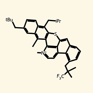 Cc1c2c(c(CC(C)C)c3ccc(CC(C)(C)C)cc13)Sc1cc3cccc(CC(C)(C)C(F)(F)F)c3c3cc[n+](C)c-2c13